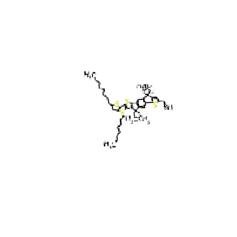 B=Cc1cc2c(s1)-c1cc3c(cc1C2(CC)CC)-c1sc2c(c1C3(CC)CC)S1(CCCCCCCC)C3C=C(CCCCCCCC)SC231